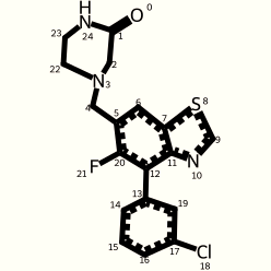 O=C1CN(Cc2cc3scnc3c(-c3cccc(Cl)c3)c2F)CCN1